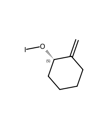 C=C1CCCC[C@@H]1OI